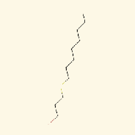 CCCCCCCCSCCCBr